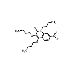 CCCCOc1c(OCCCC)c2ccc([N+](=O)[O-])cc2n(CCCC)c1=O